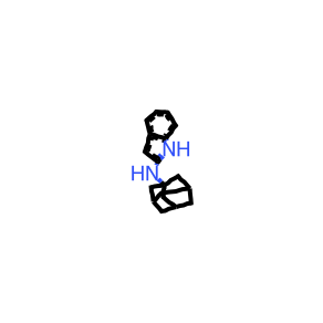 c1ccc2[nH]c(NC34CC5CC(CC(C5)C3)C4)cc2c1